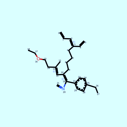 C=C/C=C(/C=C)CCCCC(/C=C(\C)CCOCC)=C(/N=C)c1ccc(CC)cc1